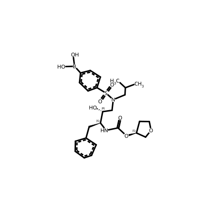 CC(C)CN(C[C@@H](O)[C@H](Cc1ccccc1)NC(=O)O[C@H]1CCOC1)S(=O)(=O)c1ccc(B(O)O)cc1